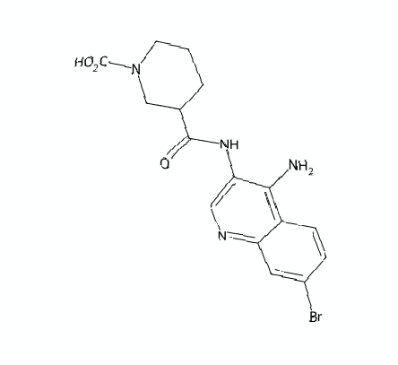 Nc1c(NC(=O)C2CCCN(C(=O)O)C2)cnc2cc(Br)ccc12